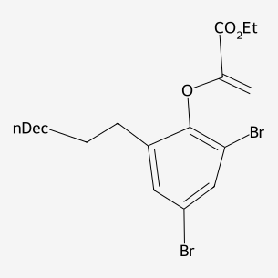 C=C(Oc1c(Br)cc(Br)cc1CCCCCCCCCCCC)C(=O)OCC